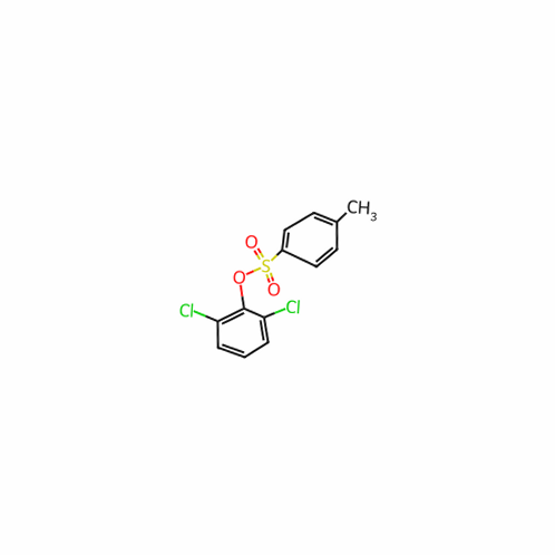 Cc1ccc(S(=O)(=O)Oc2c(Cl)cccc2Cl)cc1